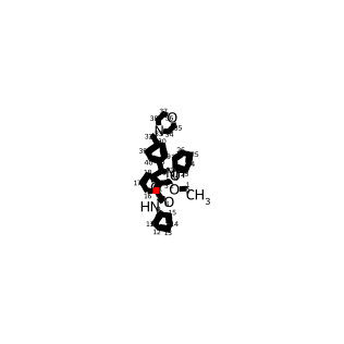 CCOC(=O)C1=C(C(=O)Nc2ccccc2)C2C=CC1(C(Nc1ccccc1)c1ccc(CN3CCOCC3)cc1)O2